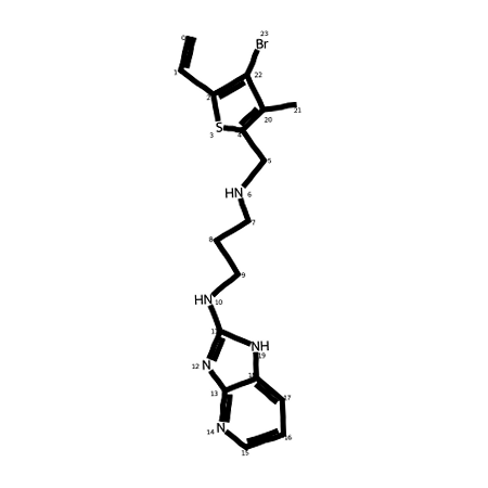 C=Cc1sc(CNCCCNc2nc3ncccc3[nH]2)c(C)c1Br